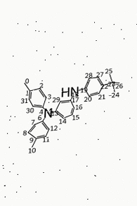 Cc1ccc(N(c2ccc(C)cc2)c2cccc(Nc3ccc(C(C)(C)C)cc3)c2)cc1